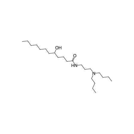 CCCCCCCC(O)CCCC(=O)NCCCN(CCCC)CCCC